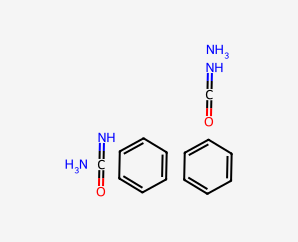 N.N.N=C=O.N=C=O.c1ccccc1.c1ccccc1